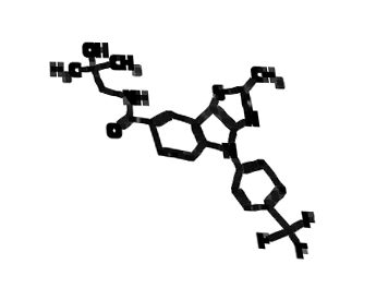 Cc1nc2c(s1)c1cc(C(=O)NCC(C)(C)O)ccc1n2-c1ccc(C(F)(F)F)cc1